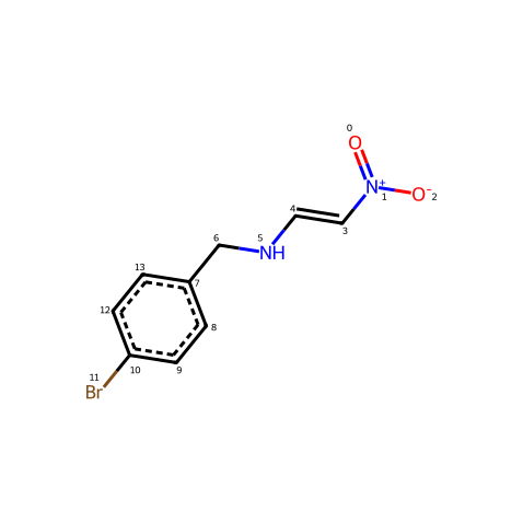 O=[N+]([O-])C=CNCc1ccc(Br)cc1